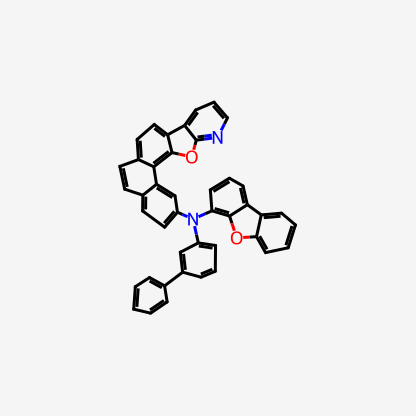 c1ccc(-c2cccc(N(c3ccc4ccc5ccc6c7cccnc7oc6c5c4c3)c3cccc4c3oc3ccccc34)c2)cc1